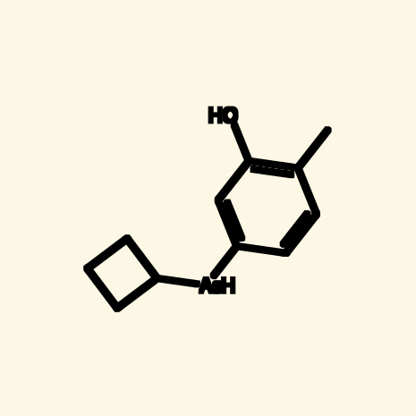 Cc1ccc([AsH]C2CCC2)cc1O